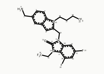 NCc1ccc2c(c1)cc(Cn1c(=O)n(CC(F)(F)F)c3c(F)cc(F)cc31)n2CCCC(F)(F)F